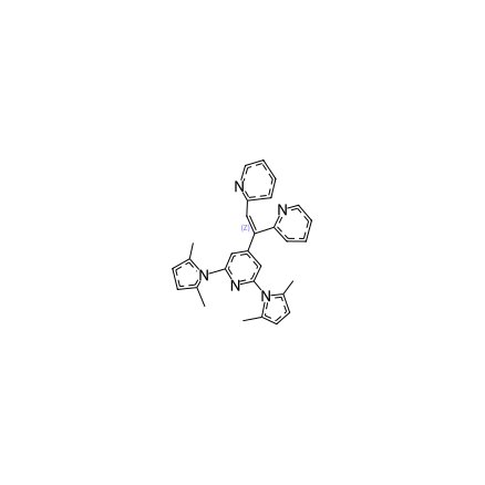 Cc1ccc(C)n1-c1cc(/C(=C/c2ccccn2)c2ccccn2)cc(-n2c(C)ccc2C)n1